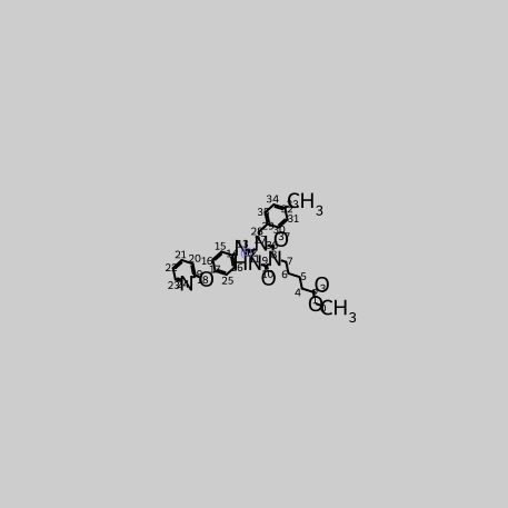 COC(=O)CCCCn1c(=O)[nH]/c(=N\c2ccc(Oc3ccccn3)cc2)n(Cc2ccc(C)cc2)c1=O